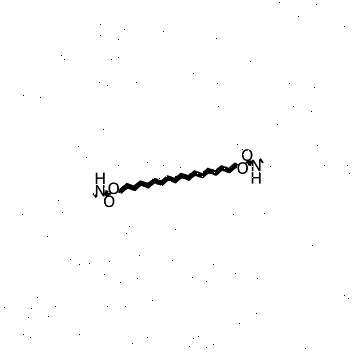 CNC(=O)OCCCCCCCCCCCCCCCCCCOC(=O)NC